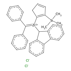 C[Si](C)(C)C1=[C]([Zr+2](=[C](c2ccccc2)c2ccccc2)[CH]2c3ccccc3-c3ccccc32)CC=C1.[Cl-].[Cl-]